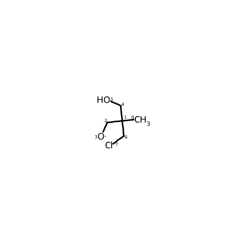 CC(C[O])(CO)CCl